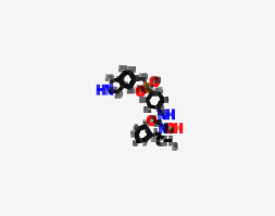 CC(c1ccccc1)N(O)C(=O)NC1=CC=C(S(=O)(=O)Cc2ccc3c(c2)CNC3)CC1